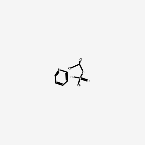 O=P(O)(O)OC(Cl)Cl.c1ccncc1